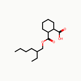 CCCCC(CC)COC(=O)C1CCCCC1C(=O)O